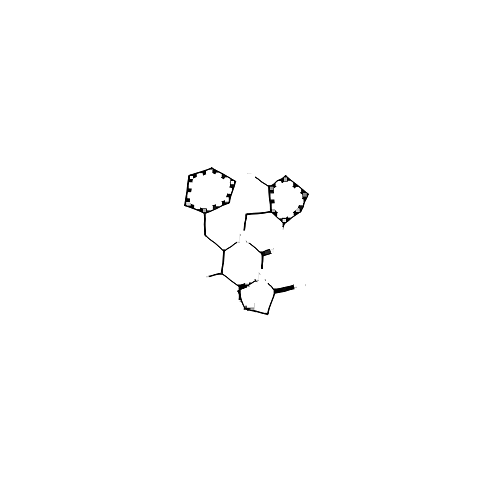 O=C(O)C(O)C(Cc1ccccc1)N(Cc1c(F)cccc1F)C(=O)N1CCCC1=O